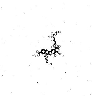 CCC1(OC(=O)CCCNC(=O)OC(C)(C)C)C(=O)OC(N)c2c1cc1n(c2=O)Cc2c-1nc1ccc(C(=O)OC(C)(C)C)cc1c2[Si](C)(C)CCCC#N